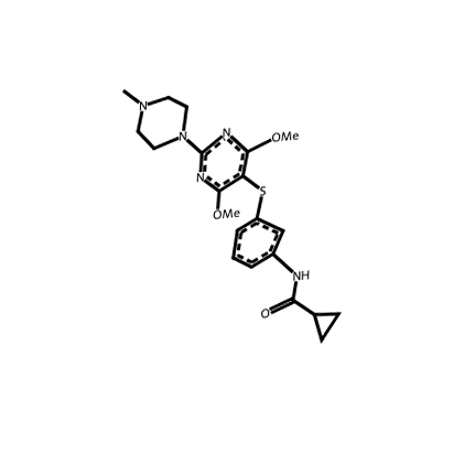 COc1nc(N2CCN(C)CC2)nc(OC)c1Sc1cccc(NC(=O)C2CC2)c1